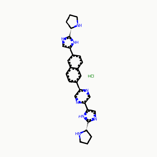 Cl.c1cc2cc(-c3cnc([C@@H]4CCCN4)[nH]3)ccc2cc1-c1cnc(-c2cnc([C@@H]3CCCN3)[nH]2)cn1